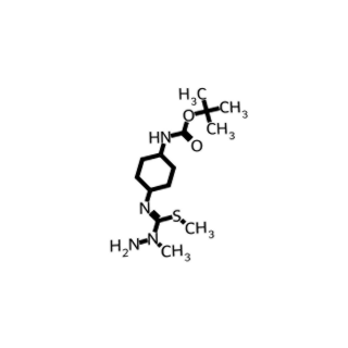 CS/C(=N\C1CCC(NC(=O)OC(C)(C)C)CC1)N(C)N